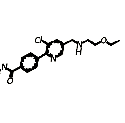 CCOCCNCc1cnc(-c2ccc(C(N)=O)cc2)c(Cl)c1